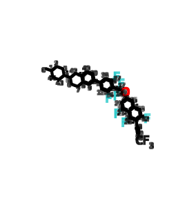 CC1CCC(C2CCc3cc(-c4cc(F)c(C(F)(F)Oc5cc(F)c6c(F)c(C#CC(F)(F)F)c(F)cc6c5)c(F)c4)ccc3C2)CC1